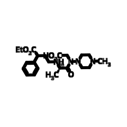 CCOC(=O)C(CCN[C@@H](C)C(=O)N(CC(=O)O)N1CCN(C)CC1)c1ccccc1